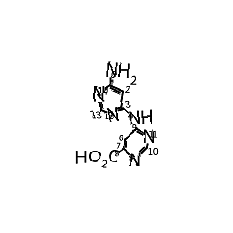 Nc1cc(Nc2cc(C(=O)O)ncn2)ncn1